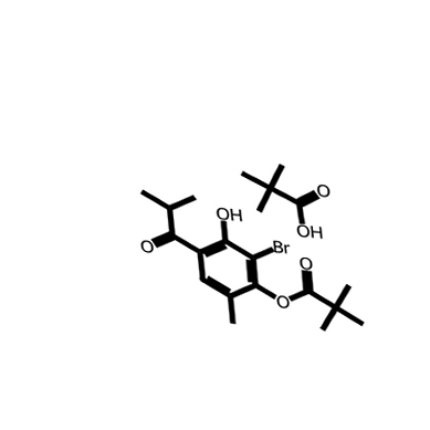 CC(C)(C)C(=O)O.Cc1cc(C(=O)C(C)C)c(O)c(Br)c1OC(=O)C(C)(C)C